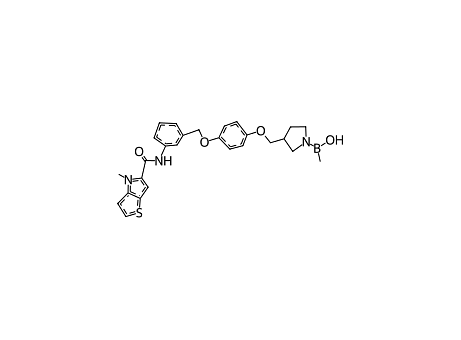 CB(O)N1CCC(COc2ccc(OCc3cccc(NC(=O)c4cc5sccc5n4C)c3)cc2)C1